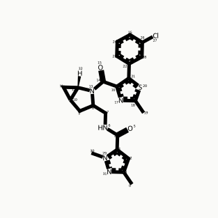 Cc1cc(C(=O)NCC2CC3C[C@@H]3N2C(=O)c2nc(C)sc2-c2cccc(Cl)c2)n(C)n1